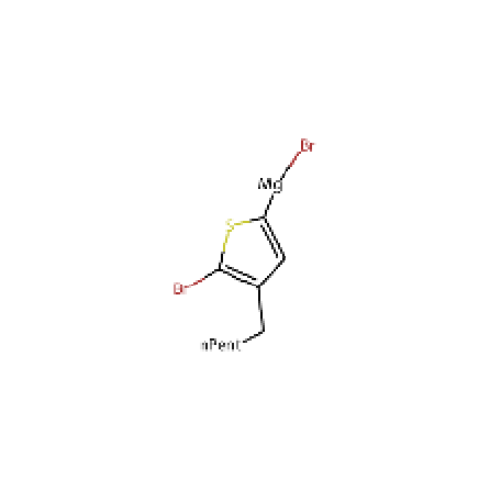 CCCCCCc1c[c]([Mg][Br])sc1Br